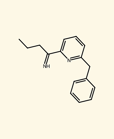 CCCC(=N)c1cccc(Cc2ccccc2)n1